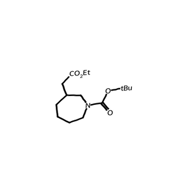 CCOC(=O)CC1CCCCN(C(=O)OC(C)(C)C)C1